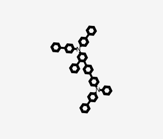 c1ccc(-c2ccc(N(c3ccccc3)c3ccc(-c4ccc(-c5ccc(N(c6ccc(-c7ccccc7)cc6)c6ccc(-c7ccccc7)cc6)cc5-c5ccccc5)cc4)cc3)cc2)cc1